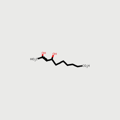 O=C(O)CCCCCC(O)/C=C(\O)C(=O)O